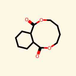 O=C1OCCCCOC(=O)C2CCCCC12